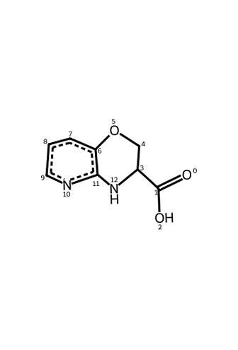 O=C(O)C1COc2cccnc2N1